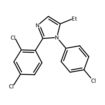 CCc1cnc(-c2ccc(Cl)cc2Cl)n1-c1ccc(Cl)cc1